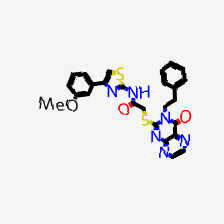 COc1cccc(-c2csc(NC(=O)CSc3nc4nccnc4c(=O)n3CCc3ccccc3)n2)c1